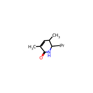 CC1=CC(C)C(C(C)C)NC1=O